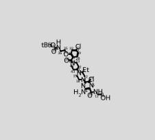 CC[C@H]1CN(c2nc(N)c(C(=O)NCCO)nc2Cl)CCN1C1CCN(C(=O)c2ccc(Cl)cc2OCCNC(=O)OC(C)(C)C)CC1